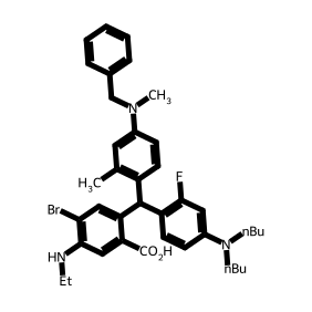 CCCCN(CCCC)c1ccc(C(c2ccc(N(C)Cc3ccccc3)cc2C)c2cc(Br)c(NCC)cc2C(=O)O)c(F)c1